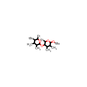 CCC1OC(OC(C)(C)C)C(C)C(C)C1OC1OC(CC)C(C(C)(C)C)C(C)C1C